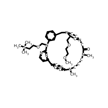 COCCOCC1CN2CCN1Cc1cccc(c1)N(COCCS(C)(C)C)c1nccc(n1)-c1ccc(nc1)N(C)CCCN(C)C(=O)C2